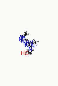 CC(C)(C)c1nc(N2CC[C@@](C)(O)C2)c2nnn(Cc3nnnn3C3CC3)c2n1